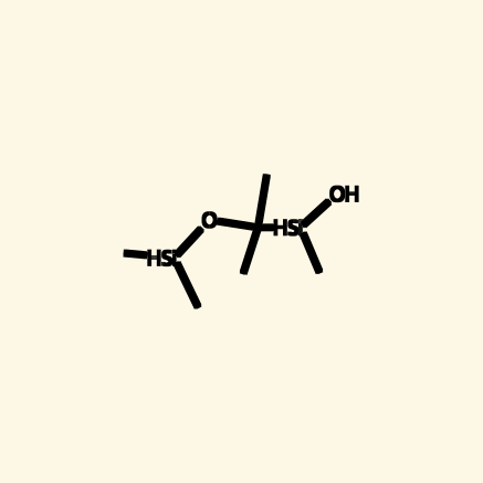 C[SiH](C)OC(C)(C)[SiH](C)O